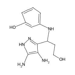 Nc1[nH]nc(C(CCO)Nc2cccc(O)c2)c1N